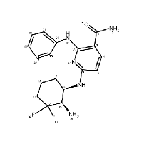 NC(=O)c1ccc(N[C@@H]2CCCC(F)(F)[C@@H]2N)nc1Nc1cccnc1